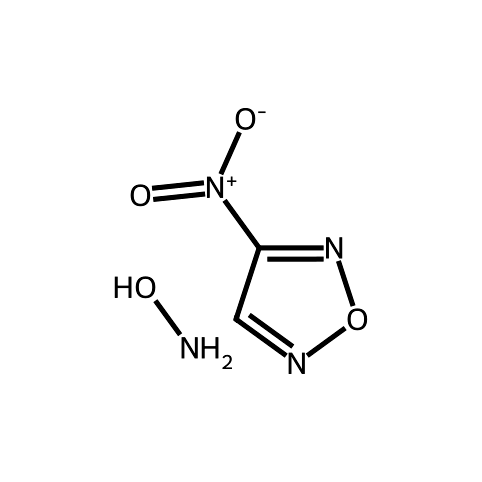 NO.O=[N+]([O-])c1cnon1